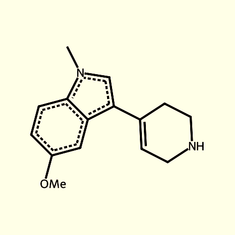 COc1ccc2c(c1)c(C1=CCNCC1)cn2C